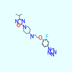 CC(C)c1noc(N2CCC(N(C)CCOc3ccc(-n4cnnn4)cc3F)CC2)n1